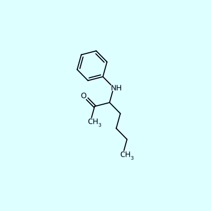 CCCCC(Nc1ccccc1)C(C)=O